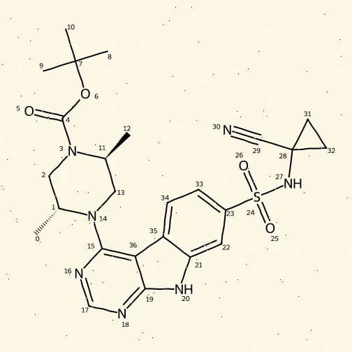 C[C@@H]1CN(C(=O)OC(C)(C)C)[C@@H](C)CN1c1ncnc2[nH]c3cc(S(=O)(=O)NC4(C#N)CC4)ccc3c12